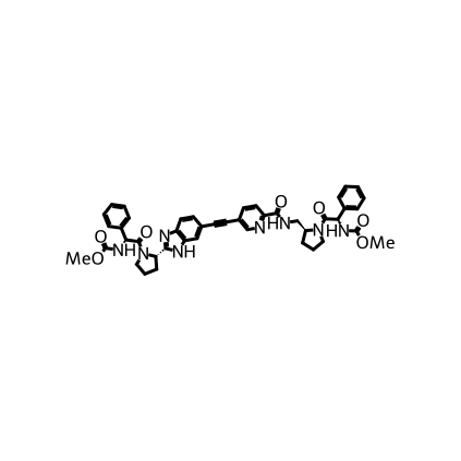 COC(=O)N[C@@H](C(=O)N1CCC[C@H]1CNC(=O)c1ccc(C#Cc2ccc3nc([C@@H]4CCCN4C(=O)[C@H](NC(=O)OC)c4ccccc4)[nH]c3c2)cn1)c1ccccc1